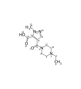 CCN1CCN(C(=O)c2cnn(C)c2C(=O)O)CC1